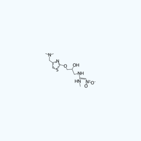 CNC(=C[N+](=O)[O-])NCC(O)COc1nc(CN(C)C)cs1